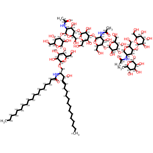 CCCCCCCCCCCCC/C=C/[C@@H](O)[C@H](CO[C@@H]1OC(CO)[C@@H](O[C@@H]2OC(CO)[C@H](O)[C@H](O[C@@H]3OC(CO)[C@@H](O[C@@H]4OC(CO)[C@H](O)[C@H](O[C@@H]5OC(CO)[C@@H](O[C@@H]6OC(CO)[C@H](O)[C@H](O[C@@H]7OC(CO)[C@@H](O[C@@H]8OC(CO)[C@H](O)[C@H](O)C8O)[C@H](O[C@H]8OC(C)[C@@H](O)C(O)[C@@H]8O)C7NC(C)=O)C6O)[C@H](O)C5NC(C)=O)C4O)[C@H](O)C3NC(C)=O)C2O)[C@H](O)C1O)NC(=O)CCCCCCCCCCCCCCCCC